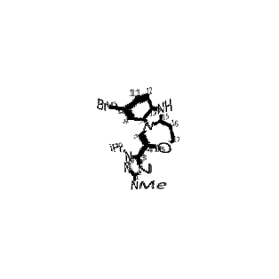 CNc1nc(C2=CN3c4cc(Br)ccc4NC3CCO2)n(C(C)C)n1